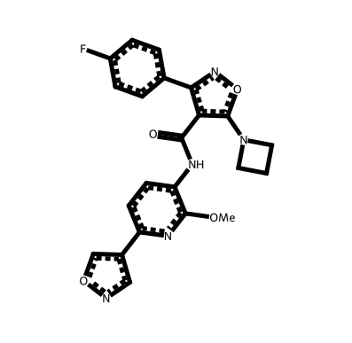 COc1nc(-c2cnoc2)ccc1NC(=O)c1c(-c2ccc(F)cc2)noc1N1CCC1